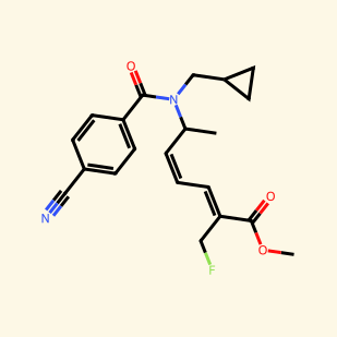 COC(=O)/C(=C/C=C\C(C)N(CC1CC1)C(=O)c1ccc(C#N)cc1)CF